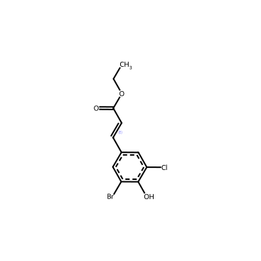 CCOC(=O)/C=C/c1cc(Cl)c(O)c(Br)c1